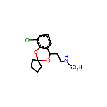 O=S(=O)(O)NCCC1OC2(CCCC2)Oc2c(Cl)cccc21